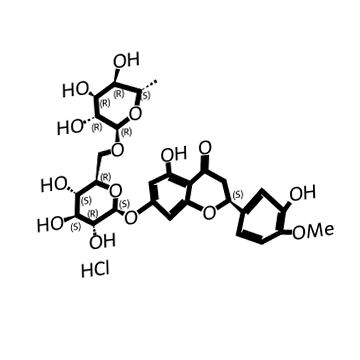 COc1ccc([C@@H]2CC(=O)c3c(O)cc(O[C@@H]4O[C@H](CO[C@@H]5O[C@@H](C)[C@H](O)[C@@H](O)[C@H]5O)[C@@H](O)[C@H](O)[C@H]4O)cc3O2)cc1O.Cl